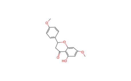 COc1ccc(C2CC(=O)c3c(O)cc(OC)cc3O2)cc1